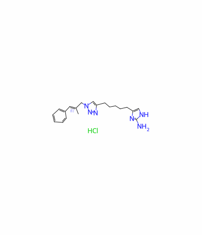 C/C(=C\c1ccccc1)Cn1cc(CCCCCc2c[nH]c(N)n2)nn1.Cl